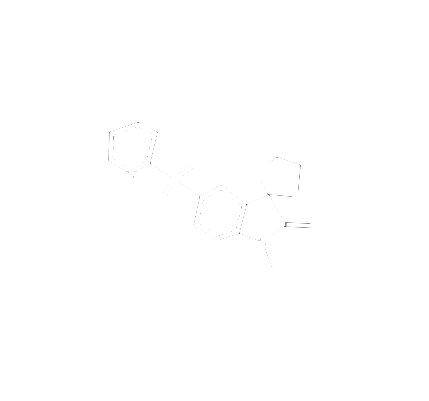 CCN1C(=O)C2(OCCO2)c2cc(S(=O)(=O)c3ccccn3)ccc21